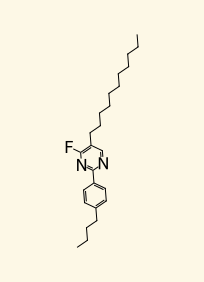 CCCCCCCCCCCc1cnc(-c2ccc(CCCC)cc2)nc1F